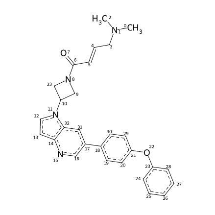 CN(C)CC=CC(=O)N1CC(n2ccc3ncc(-c4ccc(Oc5ccccc5)cc4)cc32)C1